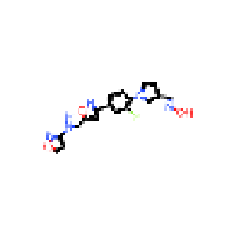 ON=Cc1ccn(-c2ccc(-c3cc(CNc4ccon4)on3)cc2F)c1